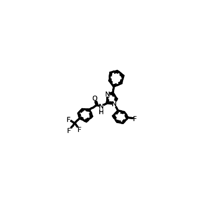 O=C(Nc1nc(-c2ccccc2)cn1-c1cccc(F)c1)c1ccc(C(F)(F)F)cc1